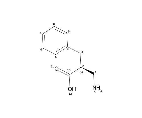 NC[C@H](Cc1ccccc1)C(=O)O